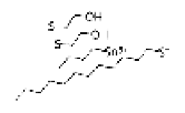 CCCCCCCCCCCC[S-].CCC[CH2][Sn+3].OCC[S-].OCC[S-]